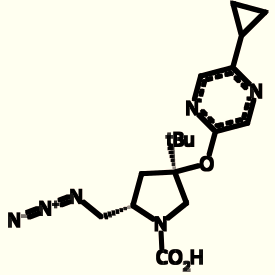 CC(C)(C)[C@@]1(Oc2cnc(C3CC3)cn2)C[C@@H](CN=[N+]=[N-])N(C(=O)O)C1